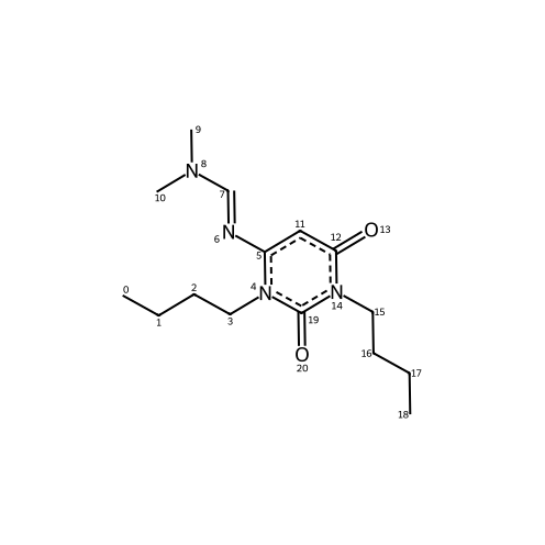 CCCCn1c(N=CN(C)C)cc(=O)n(CCCC)c1=O